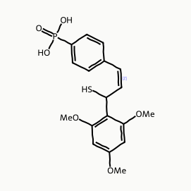 COc1cc(OC)c(C(S)/C=C\c2ccc(P(=O)(O)O)cc2)c(OC)c1